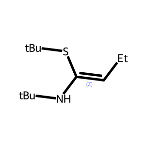 CC/C=C(/NC(C)(C)C)SC(C)(C)C